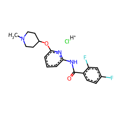 CN1CCC(Oc2cccc(NC(=O)c3ccc(F)cc3F)n2)CC1.[Cl-].[H+]